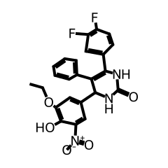 CCOc1cc(C2NC(=O)NC(c3ccc(F)c(F)c3)=C2c2ccccc2)cc([N+](=O)[O-])c1O